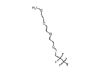 COCCOCCOCCOCCC(F)(F)C(F)(F)F